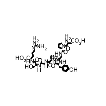 CC[C@H](C)[C@H](NC(=O)[C@H](Cc1ccc(O)cc1)NC(=O)CNC(=O)[C@@H]1CCCN1C(=O)[C@@H](N)CC(=O)O)C(=O)NCC(=O)N[C@@H](CO)C(=O)N[C@@H](CCCN=C(N)N)C(=O)O